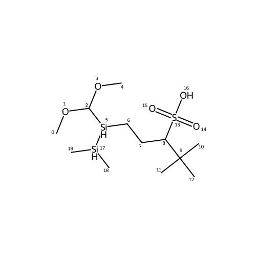 COC(OC)[SiH](CCC(C(C)(C)C)S(=O)(=O)O)[SiH](C)C